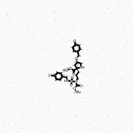 CC(C)(C)OC(=O)N(CCC[C@@]1(C(=O)OC(C)(C)C)C[C@@H](OCc2ccc(Cl)cc2)CN1)S(=O)(=O)NCc1ccc(Cl)cc1